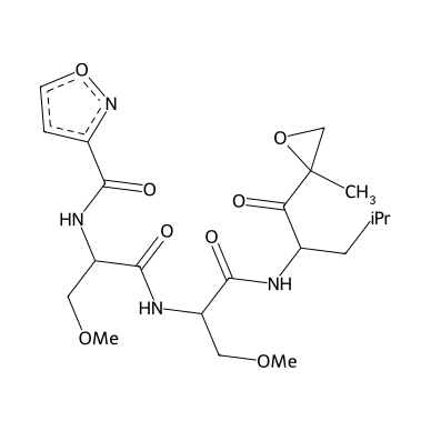 COCC(NC(=O)c1ccon1)C(=O)NC(COC)C(=O)NC(CC(C)C)C(=O)C1(C)CO1